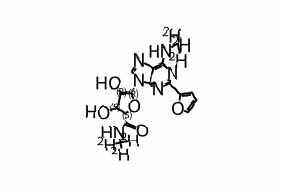 [2H]C([2H])([2H])NC(=O)[C@H]1O[C@@H](n2cnc3c(NC([2H])([2H])[2H])nc(-c4ccco4)nc32)[C@H](O)[C@@H]1O